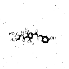 Cc1cc(C(=O)NCc2cccc(O)c2)cc(C)c1C(=O)N[C@@H](CN)C(=O)O